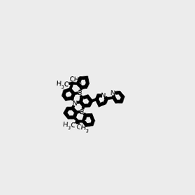 CC1(C)c2ccccc2B2c3cc(-c4ccc(-c5ccccn5)nc4)cc4c3N(c3cccc1c32)c1cccc2c1B4c1ccccc1C2(C)C